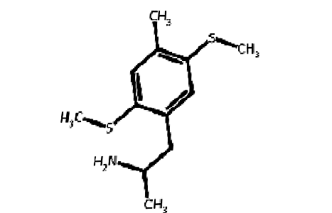 CSc1cc(CC(C)N)c(SC)cc1C